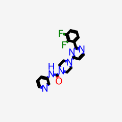 O=C(Nc1cccnc1)N1CCN(c2ccnc(-c3cccc(F)c3F)n2)CC1